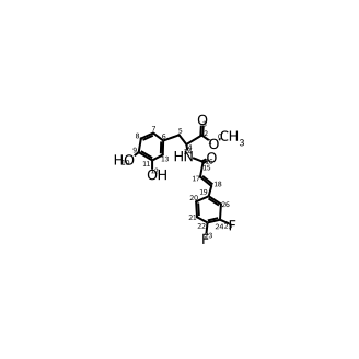 COC(=O)C(Cc1ccc(O)c(O)c1)NC(=O)C=Cc1ccc(F)c(F)c1